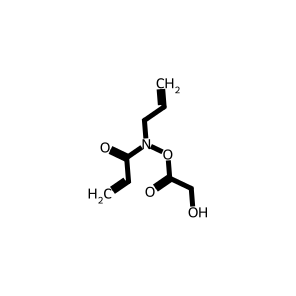 C=CCN(OC(=O)CO)C(=O)C=C